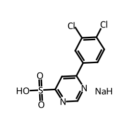 O=S(=O)(O)c1cc(-c2ccc(Cl)c(Cl)c2)ncn1.[NaH]